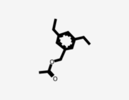 CCc1cc(CC)cc(COC(C)=O)c1